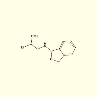 CCC(CNB1OCc2ccccc21)OC